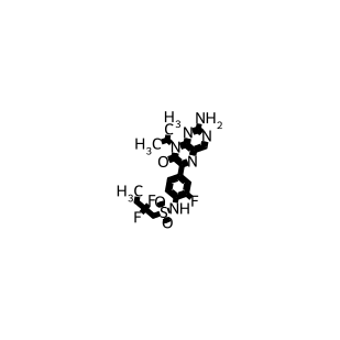 CCC(F)(F)CS(=O)(=O)Nc1ccc(-c2nc3cnc(N)nc3n(C(C)C)c2=O)cc1F